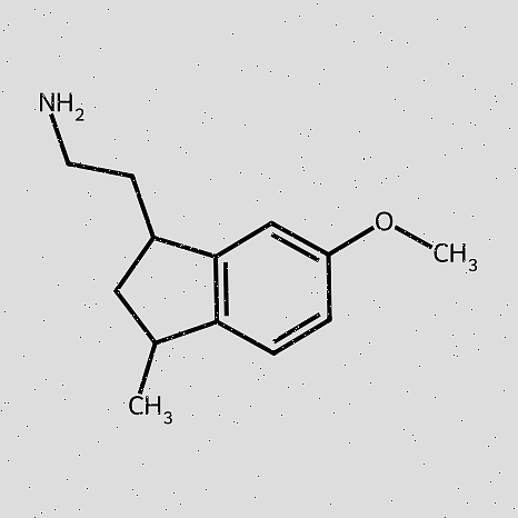 COc1ccc2c(c1)C(CCN)CC2C